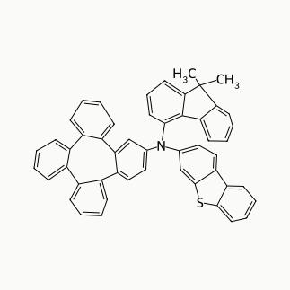 CC1(C)c2ccccc2-c2c(N(c3ccc4c(c3)-c3ccccc3-c3ccccc3-c3ccccc3-4)c3ccc4c(c3)sc3ccccc34)cccc21